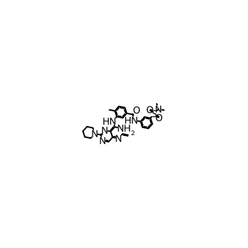 C=C/N=C1/C=NC(N2CCCCC2)=N/C1=C(/N)Nc1cc(C(=O)Nc2cccc(S(=O)(=O)N(C)C)c2)ccc1C